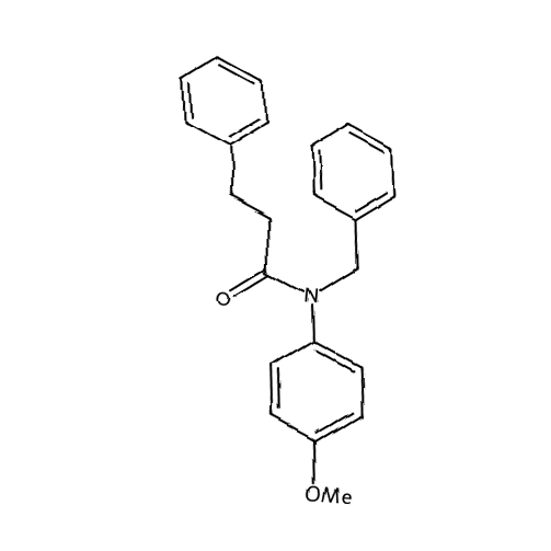 COc1ccc(N(Cc2ccccc2)C(=O)CCc2ccccc2)cc1